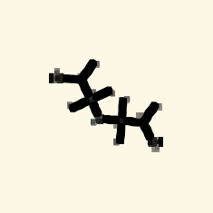 CC(O)[Si](C)(C)O[Si](C)(C)C(C)O